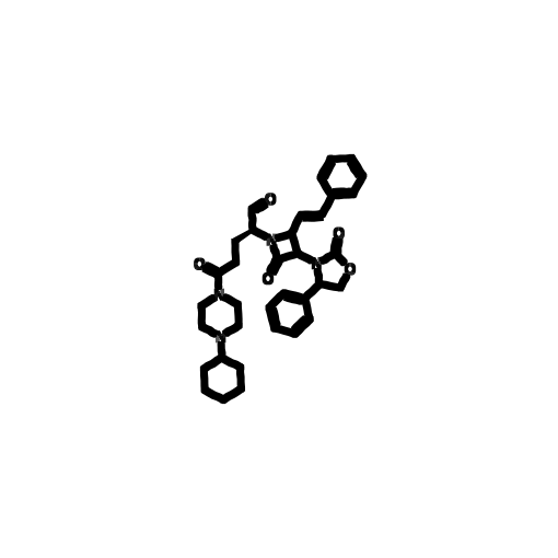 O=C[C@H](CCC(=O)N1CCN(C2CCCCC2)CC1)N1C(=O)C(N2C(=O)OCC2c2ccccc2)C1/C=C/c1ccccc1